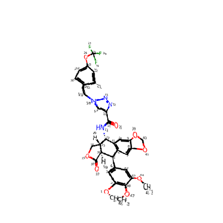 COc1cc([C@@H]2c3cc4c(cc3[C@@H](NC(=O)c3cn(Cc5ccc(OC(F)(F)F)cc5)nn3)[C@H]3COC(=O)[C@H]23)OCO4)cc(OC)c1OC